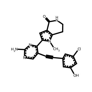 Cn1c(-c2nc(N)ncc2C#Cc2cc(O)cc(Cl)c2)cc2c1CCNC2=O